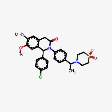 COc1cc2c(cc1OC(C)C)[C@H](c1ccc(Cl)cc1)N(c1ccc([C@H](C)N3CCS(=O)(=O)CC3)cc1)C(=O)C2